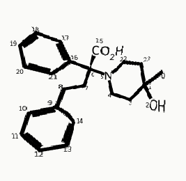 CC1(O)CCN([C@@](CCc2ccccc2)(C(=O)O)c2ccccc2)CC1